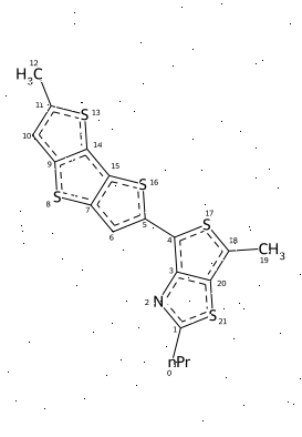 CCCc1nc2c(-c3cc4sc5cc(C)sc5c4s3)sc(C)c2s1